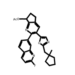 CC(=O)OC1CCc2cc(-c3cnc(CC4(C)CCCC4)o3)c(-c3ccc4ccc(F)nc4c3)nc21